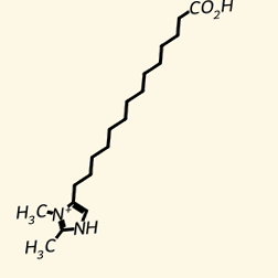 Cc1[nH]cc(CCCCCCCCCCCCCC(=O)O)[n+]1C